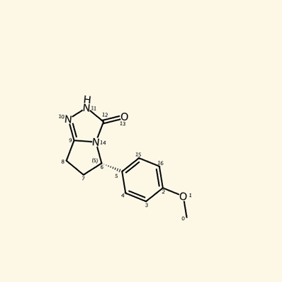 COc1ccc([C@@H]2CCc3n[nH]c(=O)n32)cc1